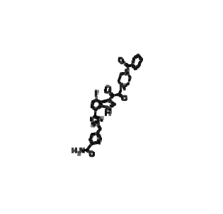 NC(=O)c1ccc(Cn2nnc(-c3ccc(F)c4c(C(=O)C(=O)N5CCN(C(=O)c6ccccc6)CC5)c[nH]c34)n2)cc1